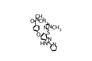 CN(C)C(=O)c1ccc(Oc2cc(Sc3nccn3C)c3nc(-c4ccccn4)[nH]c3c2)cc1